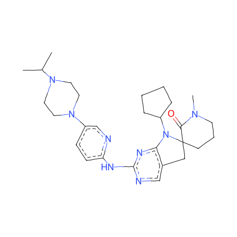 CC(C)N1CCN(c2ccc(Nc3ncc4c(n3)N(C3CCCC3)C3(CCCN(C)C3=O)C4)nc2)CC1